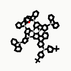 CC(C)(C)c1ccc(N(c2ccc(C(C)(C)C)cc2)c2ccc3c(c2)c2ccccc2c2c4c5c(cc32)-n2c3ccc(-n6c7ccccc7c7ccccc76)cc3c3cc(-n6c7ccccc7c7ccccc76)cc(c32)B5c2cc(-n3c5ccccc5c5ccccc53)cc3c5cc(-n6c7ccccc7c7ccccc76)ccc5n-4c23)cc1